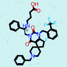 O=C(O)CCCN[C@@H](Cn1c(=O)c2c(n(Cc3c(F)cccc3C(F)(F)F)c1=O)CCC21CCN(Cc2ccccc2)CC1)c1ccccc1